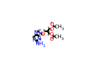 CC(=O)OCC(COC(C)=O)COn1cnc2cnc(N)nc21